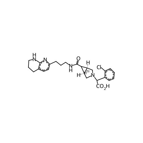 O=C(NCCCc1ccc2c(n1)NCCC2)C1[C@H]2CN(C(C(=O)O)c3ccccc3Cl)C[C@@H]12